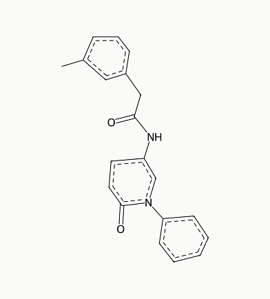 Cc1cccc(CC(=O)Nc2ccc(=O)n(-c3ccccc3)c2)c1